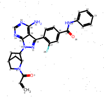 C=CC(=O)N1CC2CC1C(n1nc(-c3ccc(C(=O)Nc4ccccc4)cc3F)c3c(N)ncnc31)C2